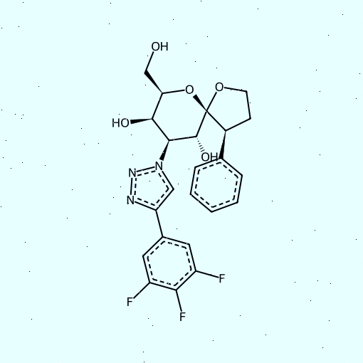 OC[C@H]1O[C@]2(OCC[C@H]2c2ccccc2)[C@H](O)[C@@H](n2cc(-c3cc(F)c(F)c(F)c3)nn2)[C@H]1O